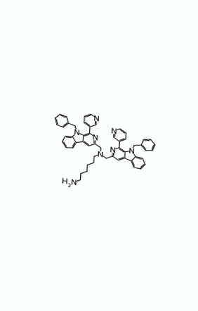 NCCCCCCN(Cc1cc2c3ccccc3n(Cc3ccccc3)c2c(-c2cccnc2)n1)Cc1cc2c3ccccc3n(Cc3ccccc3)c2c(-c2cccnc2)n1